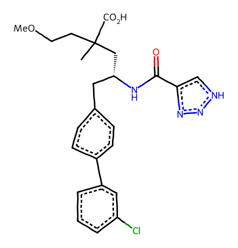 COCCC(C)(C[C@@H](Cc1ccc(-c2cccc(Cl)c2)cc1)NC(=O)c1c[nH]nn1)C(=O)O